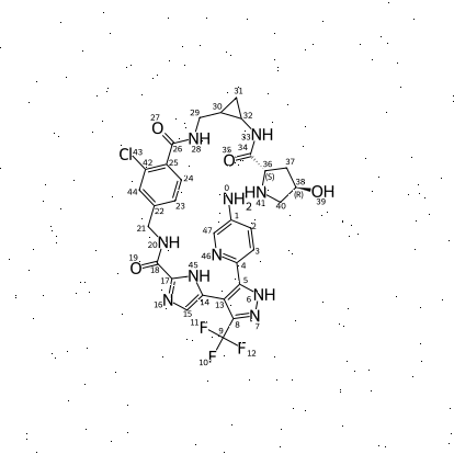 Nc1ccc(-c2[nH]nc(C(F)(F)F)c2-c2cnc(C(=O)NCc3ccc(C(=O)NCC4CC4NC(=O)[C@@H]4C[C@@H](O)CN4)c(Cl)c3)[nH]2)nc1